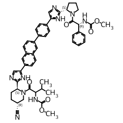 COC(=O)NC(C(=O)N1C[C@H](C#N)CC[C@H]1c1ncc(-c2ccc3cc(-c4ccc(-c5cnc([C@@H]6CCCN6C(=O)[C@H](NC(=O)OC)c6ccccc6)[nH]5)cc4)ccc3c2)[nH]1)C(C)C